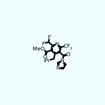 COC(=O)c1c(C(F)F)nc(C(F)(F)F)c(C(=O)n2ccnc2)c1CC(C)C